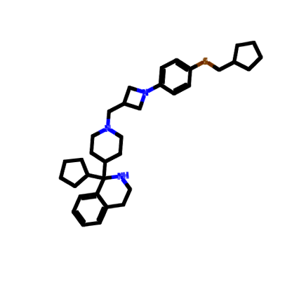 c1ccc2c(c1)CCNC2(C1CCCC1)C1CCN(CC2CN(c3ccc(SCC4CCCC4)cc3)C2)CC1